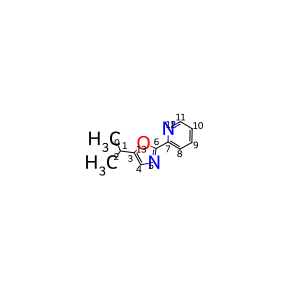 CC(C)c1cnc(-c2ccccn2)o1